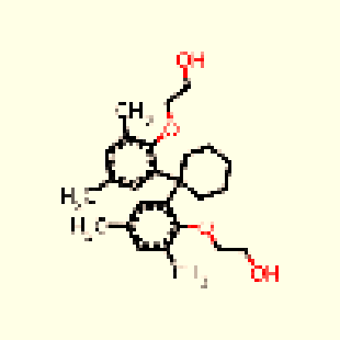 Cc1cc(C)c(OCCO)c(C2(c3cc(C)cc(C)c3OCCO)CCCCC2)c1